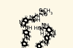 CS(=O)(=O)CCNCc1nc(-c2ccc3ncnc(Nc4ccc5c(cnn5Cc5ccccc5)c4)c3c2)no1.N=C(NO)c1ccc2ncnc(-c3ccc4c(cnn4Cc4ccccc4)c3)c2c1